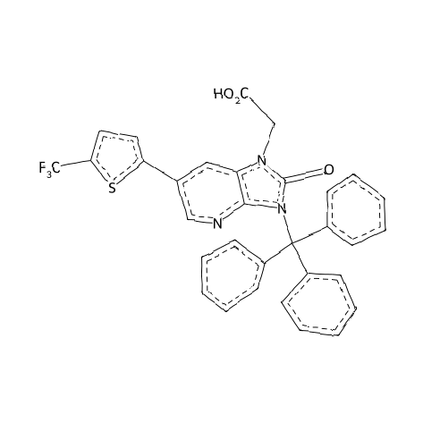 O=C(O)Cn1c(=O)n(C(c2ccccc2)(c2ccccc2)c2ccccc2)c2ncc(-c3ccc(C(F)(F)F)s3)cc21